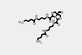 CCCCC(=O)NCCCNC(=O)C1OCC2(C=O)COC(C(=O)NCCCNC(=O)CCCC)N12